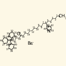 CCCCCCC(CCCCCCCCCCC(=O)CCC[P+](c1ccccc1)(c1ccccc1)c1ccccc1)n1ccnc1.[Br-]